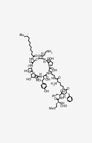 CC[C@H](C)C[C@H](C)CCCCCCCCC(=O)N[C@H]1C[C@@H](O)[C@@H](NCCN)NC(=O)[C@@H]2[C@@H](O)CCN2C(=O)[C@H]([C@H](O)CCNC(=O)[C@@H](N)CCCNC(=O)[C@H](Cc2ccccc2)NC(=O)[C@H](CC(C)C)NC(=O)[C@H](CCSC)NC=O)NC(=O)[C@H]([C@H](O)[C@@H](O)c2ccc(O)cc2)NC(=O)[C@@H]2C[C@@H](O)CN2C(=O)[C@H]([C@@H](C)O)NC1=O